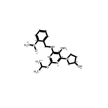 CC(C)Oc1nc(NCc2ccccc2[S+](C)[O-])c(N)c(N2CCC(O)C2)n1